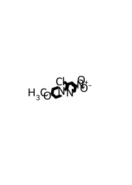 COC1CCN(c2ncc([N+](=O)[O-])cc2Cl)CC1